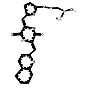 CN(C)CCSc1ccc(/C=c2\[nH]c(=O)/c(=C/c3ccc4ccccc4n3)[nH]c2=O)s1